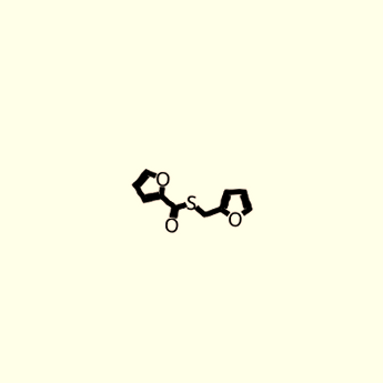 O=C(SCc1ccco1)c1ccco1